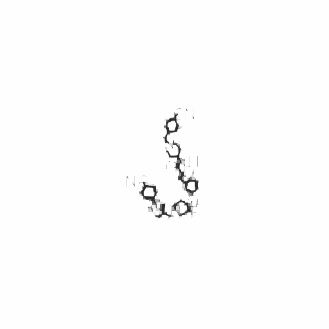 N#Cc1ccc(CN2CCC(NC(=O)c3cc4cc(O[C@@H]5CCN(Cc6cnn(-c7ccc(C#N)cc7)c6)C[C@H]5F)ccc4o3)CC2)cc1